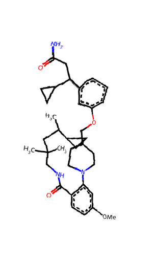 COc1ccc(C(=O)NCC(C)(C)CC(C)C2CC2)c(N2CCC(COc3cccc(C(CC(N)=O)C4CC4)c3)CC2)c1